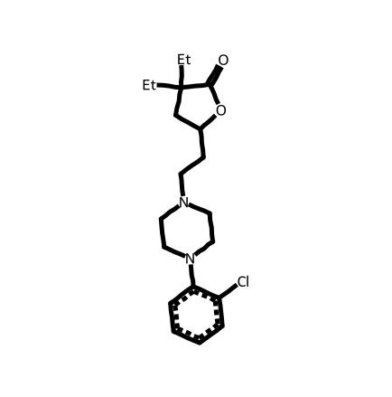 CCC1(CC)CC(CCN2CCN(c3ccccc3Cl)CC2)OC1=O